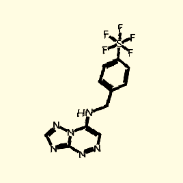 FS(F)(F)(F)(F)c1ccc(CNc2cnnc3ncnn23)cc1